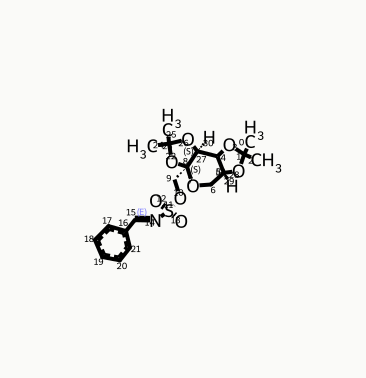 CC1(C)OC2[C@@H](CO[C@@]3(COS(=O)(=O)/N=C/c4ccccc4)OC(C)(C)O[C@@H]23)O1